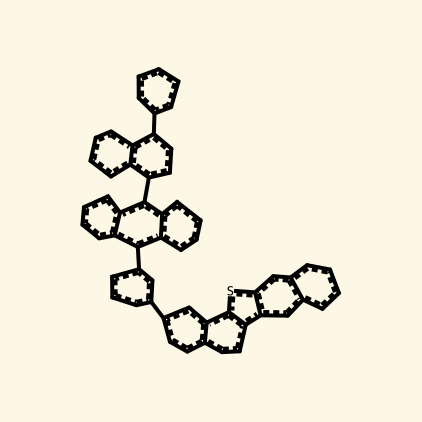 c1ccc(-c2ccc(-c3c4ccccc4c(-c4cccc(-c5ccc6ccc7c8cc9ccccc9cc8sc7c6c5)c4)c4ccccc34)c3ccccc23)cc1